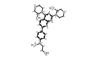 C[C@H]1COCCN1c1nc(N2CCOC[C@@H]2C)c2ccc(-c3ccc(N(C)CCO)cc3)nc2n1